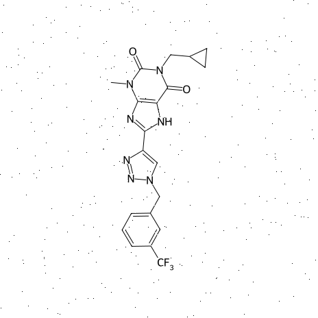 Cn1c(=O)n(CC2CC2)c(=O)c2[nH]c(-c3cn(Cc4cccc(C(F)(F)F)c4)nn3)nc21